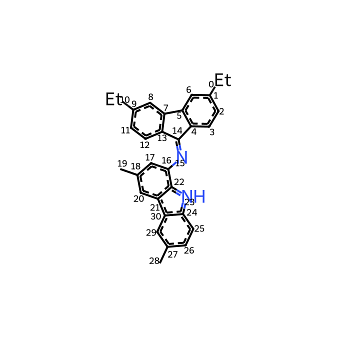 CCc1ccc2c(c1)-c1cc(CC)ccc1C2=Nc1cc(C)cc2c1[nH]c1ccc(C)cc12